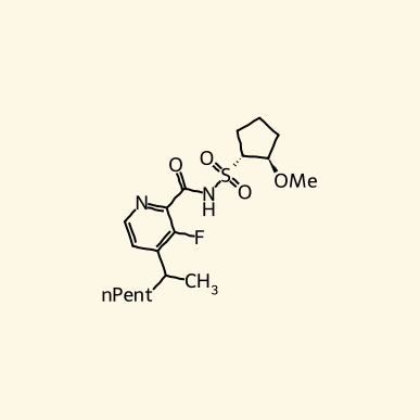 CCCCCC(C)c1ccnc(C(=O)NS(=O)(=O)[C@@H]2CCC[C@H]2OC)c1F